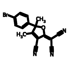 CC1=C(C#N)C(=C(C#N)C#N)OC1(C)c1ccc(Br)cc1